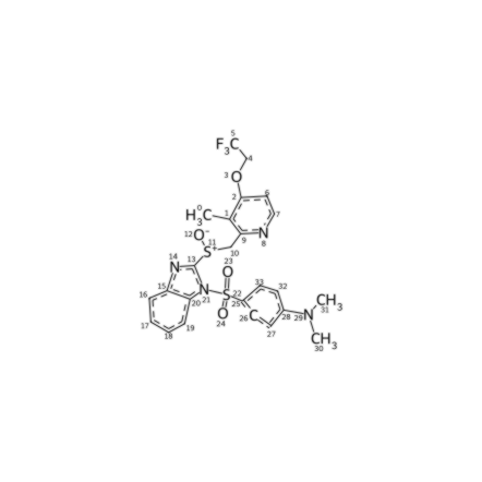 Cc1c(OCC(F)(F)F)ccnc1C[S+]([O-])c1nc2ccccc2n1S(=O)(=O)c1ccc(N(C)C)cc1